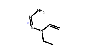 C=CN(CC)/N=N\N